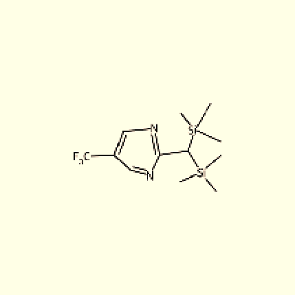 C[Si](C)(C)C(c1ncc(C(F)(F)F)cn1)[Si](C)(C)C